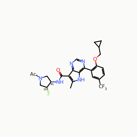 CC(=O)N1C[C@H](F)[C@H](NC(=O)c2c(C)[nH]c3c(-c4cc(C(F)(F)F)ccc4OCC4CC4)ncnc23)C1